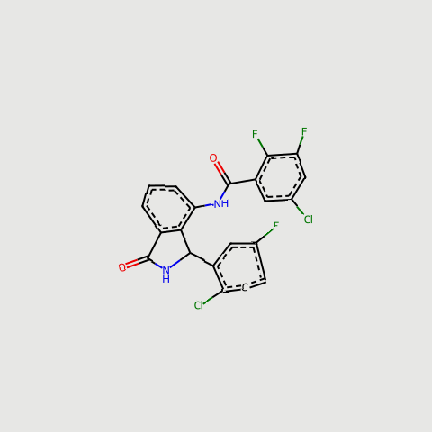 O=C(Nc1cccc2c1C(c1cc(F)ccc1Cl)NC2=O)c1cc(Cl)cc(F)c1F